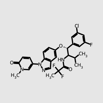 CC(C)C(NC(=O)C(C)(F)F)[C@H](Oc1ccc2c(cnn2-c2ccc(=O)n(C)c2)c1)c1cc(F)cc(Cl)c1